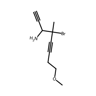 C#CC(N)C(C)(Br)C#CCCOC